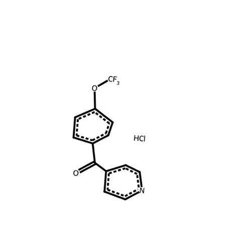 Cl.O=C(c1ccncc1)c1ccc(OC(F)(F)F)cc1